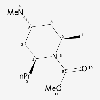 CCC[C@H]1C[C@H](NC)C[C@@H](C)N1C(=O)OC